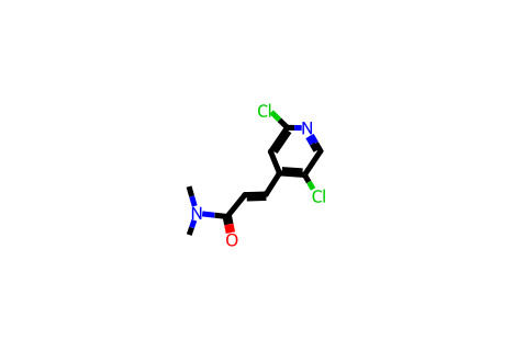 CN(C)C(=O)C=Cc1cc(Cl)ncc1Cl